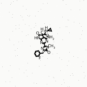 Cn1c(-c2nc(N)c3c(n2)NC(=O)C3(C)C(=O)NC2CC2)nn(Cc2ccccc2F)c1=O